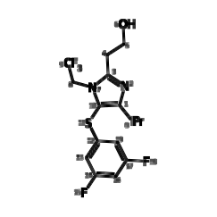 CC(C)c1nc(CCO)n(CC(F)(F)F)c1Sc1cc(F)cc(F)c1